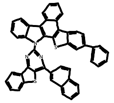 c1ccc(-c2ccc3c(c2)sc2c3c3ccccc3c3c4ccccc4n(-c4nc(-c5ccc6ccccc6c5)c5sc6ccccc6c5n4)c23)cc1